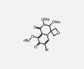 CCCCOc1c2n(cc(Br)c1=O)C1(COC1)C(OC)N(OC)C2=O